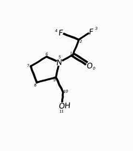 O=C(C(F)F)N1CCCC1CO